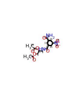 CC(=O)OCC(CNC(=O)c1cc(C(N)=O)cc([N+](=O)[O-])c1)OC(C)=O